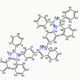 c1ccc(-c2nc(-c3ccccc3)n(-c3ccc(-c4cc5ccccc5c(-c5ccc(-n6c(-c7ccccc7)nc(-c7ccccc7)c6-c6ccccc6)cc5)n4)cc3)c2-c2ccccc2)cc1